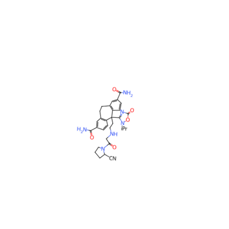 CC(C)n1oc(=O)nc1C1(CCNCC(=O)N2CCCC2C#N)c2ccc(C(N)=O)cc2CCc2cc(C(N)=O)ccc21